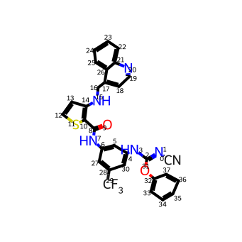 N#C/N=C(/Nc1cc(NC(=O)c2sccc2NCc2ccnc3ccccc23)cc(C(F)(F)F)c1)Oc1ccccc1